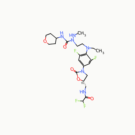 CCN(CCN(NC)C(=O)NC1CCOCC1)c1c(F)cc(N2C[C@H](CNC(=O)C(F)F)OC2=O)cc1F